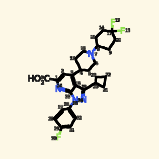 O=C(O)c1cc(C2CCN(C3CCC(F)(F)CC3)CC2)c2c(C3CCC3)nn(-c3ccc(F)cc3)c2n1